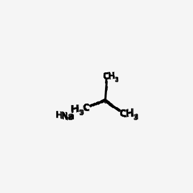 C[C](C)C.[NaH]